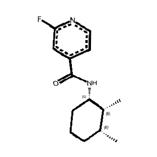 C[C@@H]1[C@H](C)CCC[C@@H]1NC(=O)c1ccnc(F)c1